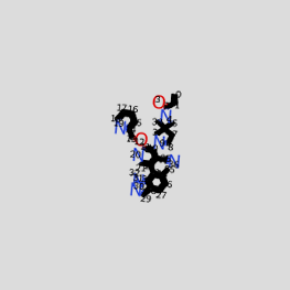 C=CC(=O)N1CC2(CCN(c3c(OCc4ccccn4)ncc(-c4c(C)ccc5cnn(C)c45)c3C#N)C2)C1